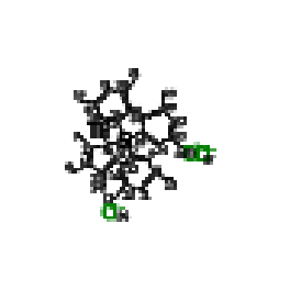 CC1=C(C)[C]([Ti+3])([Si](c2cc(C)cc(C)c2)(c2cc(C)cc(C)c2)c2cc(C)cc(C)c2)C(C)=C1C.[Cl-].[Cl-].[Cl-]